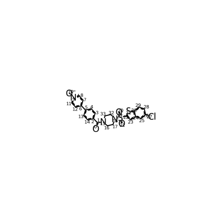 O=C(c1ccc(-c2cc[n+]([O-])cc2)cc1)N1CCN(S(=O)(=O)c2cc3cc(Cl)ccc3s2)CC1